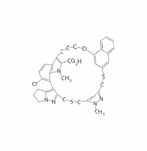 Cn1nc2cc1CSCc1nn3c(c1-c1c(Cl)ccc4c(c(C(=O)O)n(C)c14)CCCOc1cc(cc4ccccc14)SC2)CCC3